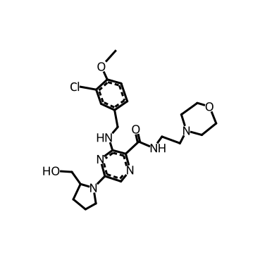 COc1ccc(CNc2nc(N3CCCC3CO)cnc2C(=O)NCCN2CCOCC2)cc1Cl